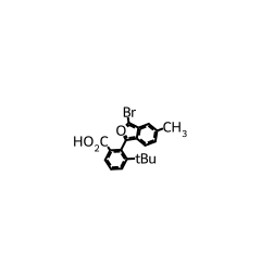 Cc1ccc2c(-c3c(C(=O)O)cccc3C(C)(C)C)oc(Br)c2c1